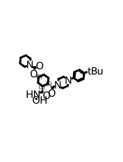 CC(C)(C)c1ccc(N2CCN(C(=O)[C@H]3CC[C@H](OC(=O)N4CCCCC4)C[C@@H]3C(=O)NO)CC2)cc1